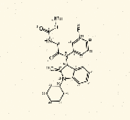 CC(C)(C)OC(=O)NCC(=O)N(c1cccc(F)c1)C1C(=O)N(C2CCCCC2)c2ccccc21